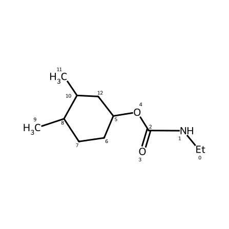 CCNC(=O)OC1CCC(C)C(C)C1